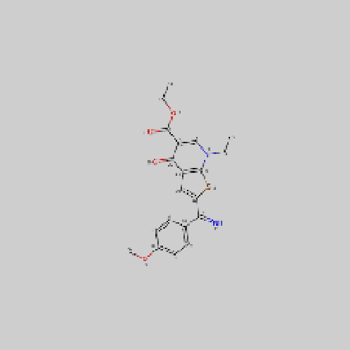 CCOC(=O)c1cn(CC)c2sc(C(=N)c3ccc(OC)cc3)cc2c1=O